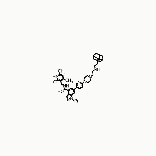 Cc1cc(C)c(CNC(O)c2cc(-c3ccc(N4CCN(CCNCCC56CC7CC(CC(C7)C5)C6)CC4)nc3)cc3c2cnn3C(C)C)c(=O)[nH]1